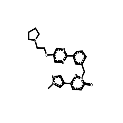 Cn1cc(-c2ccc(=O)n(Cc3cccc(-c4ncc(OCCN5CCCC5)cn4)c3)n2)cn1